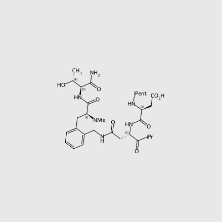 CCCC(C)N[C@@H](CC(=O)O)C(=O)N[C@@H](CC(=O)NCc1ccccc1C[C@H](NC)C(=O)N[C@H](C(N)=O)[C@@H](C)O)C(=O)C(C)C